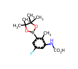 Cc1c(NC(=O)O)cc(F)cc1B1OC(C)(C)C(C)(C)O1